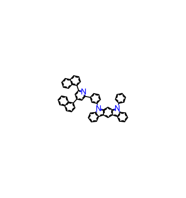 c1ccc(-n2c3ccccc3c3cc4c5ccccc5n(-c5cccc(-c6cc(-c7cccc8ccccc78)cc(-c7cccc8ccccc78)n6)c5)c4cc32)cc1